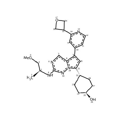 COC[C@H](C)Nc1ncc2c(-c3ccnc(C4COC4)c3)cc([C@H]3CC[C@H](O)CC3)n2n1